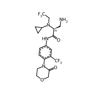 NC[C@@H](C(=O)Nc1ccc(N2CCOCC2=O)c(C(F)(F)F)c1)N(CC(F)(F)F)C1CC1